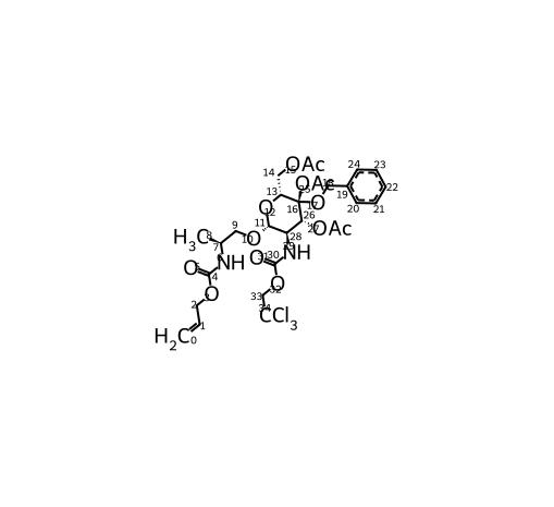 C=CCOC(=O)N[C@@H](C)CO[C@@H]1O[C@H](COC(C)=O)[C@@](OCc2ccccc2)(OC(C)=O)[C@H](OC(C)=O)[C@H]1NC(=O)OCC(Cl)(Cl)Cl